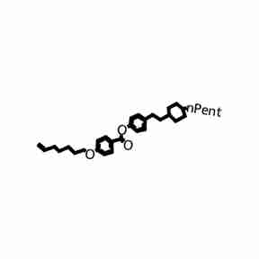 C=CCCCCCOc1ccc(C(=O)Oc2ccc(CCC3CCC(CCCCC)CC3)cc2)cc1